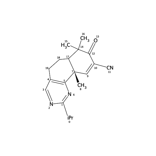 CC(C)c1ncc2c(n1)[C@@]1(C)C=C(C#N)C(=O)C(C)(C)C1CC2